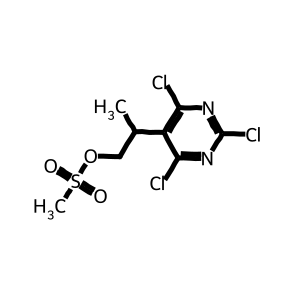 CC(COS(C)(=O)=O)c1c(Cl)nc(Cl)nc1Cl